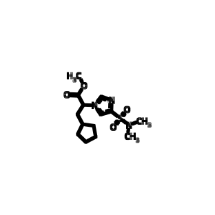 COC(=O)C(CC1CCCC1)n1cnc(S(=O)(=O)N(C)C)c1